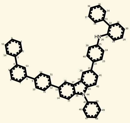 c1ccc(-c2cccc(-c3ccc(-c4ccc5c(c4)c4cc(-c6ccc(Nc7ccccc7-c7ccccc7)cc6)ccc4n5-c4ccccc4)cc3)c2)cc1